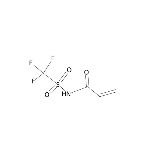 C=CC(=O)NS(=O)(=O)C(F)(F)F